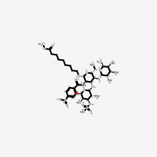 COC(=O)CCCCCCCCO[C@@H]1O[C@H](CO)[C@@H](O[C@@H]2O[C@@H](C)[C@@H](O)[C@@H](O)[C@@H]2O)[C@H](O[C@@H]2O[C@H](CO)[C@H](O)[C@H](OS(=O)(=O)O)[C@H]2O)[C@H]1NC(=O)c1ccc([N+](=O)[O-])cc1